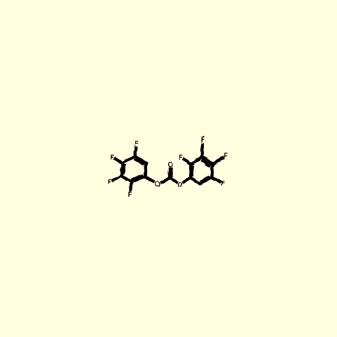 O=C(Oc1cc(F)c(F)c(F)c1F)Oc1cc(F)c(F)c(F)c1F